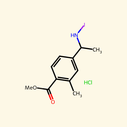 COC(=O)c1ccc(C(C)NI)cc1C.Cl